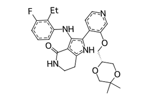 CCc1c(F)cccc1Nc1c(-c2ccncc2OC[C@@H]2COC(C)(C)CO2)[nH]c2c1C(=O)NCC2